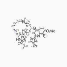 COc1ccc2c(OC3CC4C(=O)NC5(C(=O)NS(=O)(=O)C6CC6)CC5/C=C/CCCCN(C)C(=O)C4C3)cc(-c3nc(C(C)C)cs3)nc2c1Cl